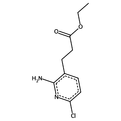 CCOC(=O)CCc1ccc(Cl)nc1N